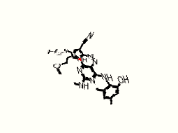 CNc1nc(NCCN)c(/N=N\c2nn(CCOC)cc2C#N)c(Nc2c(C)cc(C)cc2O)n1